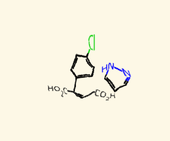 O=C(O)/C=C(/C(=O)O)c1ccc(Cl)cc1.c1cn[nH]c1